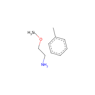 Cc1ccccc1.NCCO[SiH3]